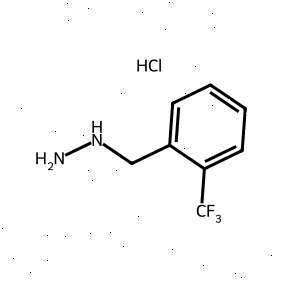 Cl.NNCc1ccccc1C(F)(F)F